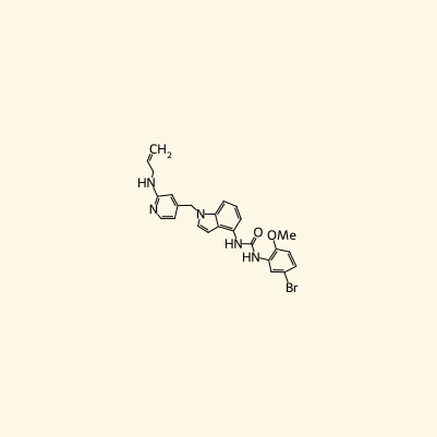 C=CCNc1cc(Cn2ccc3c(NC(=O)Nc4cc(Br)ccc4OC)cccc32)ccn1